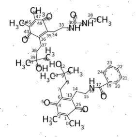 CC1=C(C)C(=O)C(CCC(C)(C)O)=C(CCNC(=O)c2ccccc2)C1=O.CCNC(=O)NCCC1=C(CCC(C)(C)O)C(=O)C(C)=C(C)C1=O